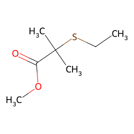 CCSC(C)(C)C(=O)OC